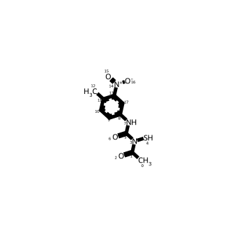 CC(=O)N(S)C(=O)Nc1ccc(C)c([N+](=O)[O-])c1